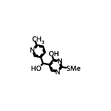 CSc1ncc(C(O)c2ccc(C)nc2)c(O)n1